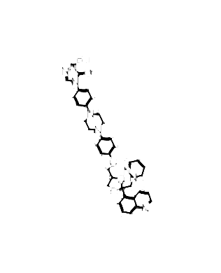 CCC(C)n1ncn(-c2ccc(N3CCN(c4ccc(OCC5COC(CN6CC=CC=N6)(c6cccc7ncccc67)O5)cc4)CC3)cc2)c1=O